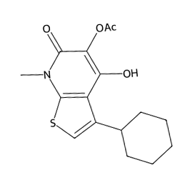 CC(=O)Oc1c(O)c2c(C3CCCCC3)csc2n(C)c1=O